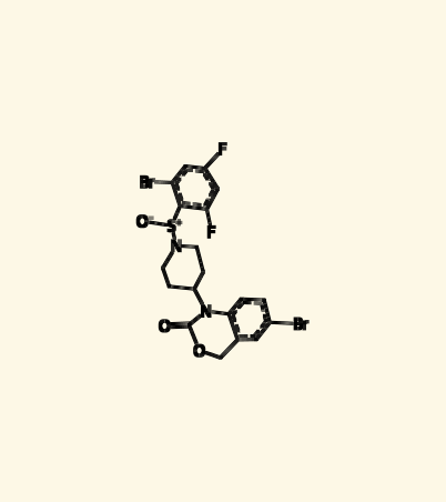 O=C1OCc2cc(Br)ccc2N1C1CCN([S+]([O-])c2c(F)cc(F)cc2Br)CC1